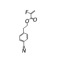 C=C(F)C(=O)OCCc1ccc(C#N)cc1